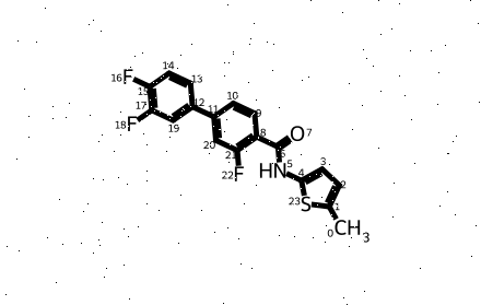 Cc1ccc(NC(=O)c2ccc(-c3ccc(F)c(F)c3)cc2F)s1